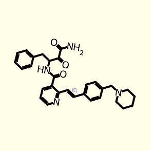 NC(=O)C(=O)C(Cc1ccccc1)NC(=O)c1cccnc1/C=C/c1ccc(CN2CCCCC2)cc1